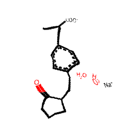 CC(C(=O)[O-])c1ccc(CC2CCCC2=O)cc1.O.O.[Na+]